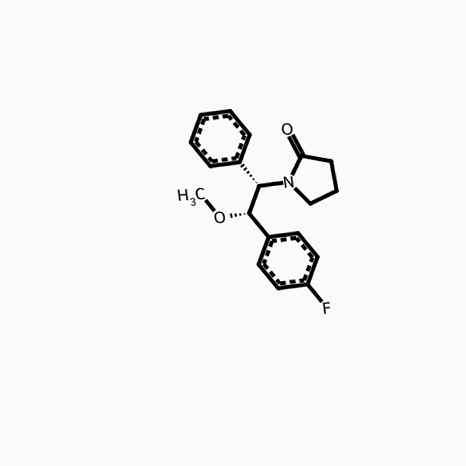 CO[C@@H](c1ccc(F)cc1)[C@H](c1ccccc1)N1CCCC1=O